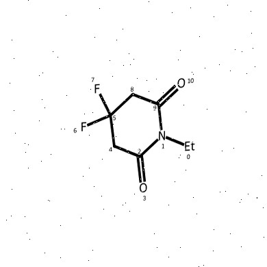 CCN1C(=O)CC(F)(F)CC1=O